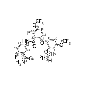 [2H]C([2H])([2H])Oc1cc(OC(F)(F)F)ccc1Oc1ccc(OC(F)(F)F)c(F)c1C(=O)Nc1ccc(F)c(C(N)=O)c1